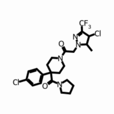 CC1C(Cl)C(C(F)(F)F)=NN1CC(=O)N1CCC(C(=O)N2CCCC2)(c2ccc(Cl)cc2)CC1